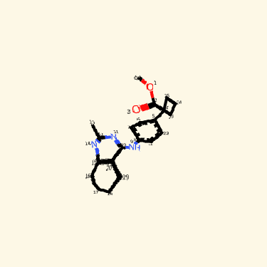 COC(=O)C1(c2ccc(NC3=NC(C)=NC4CCCCC34)cc2)CCC1